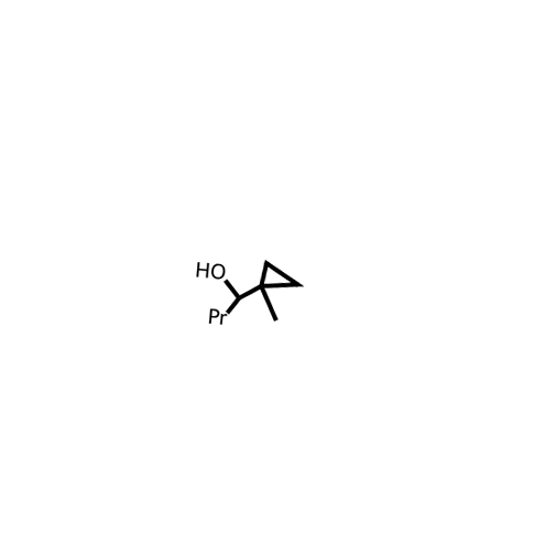 CC1([CH](O)[Pr])CC1